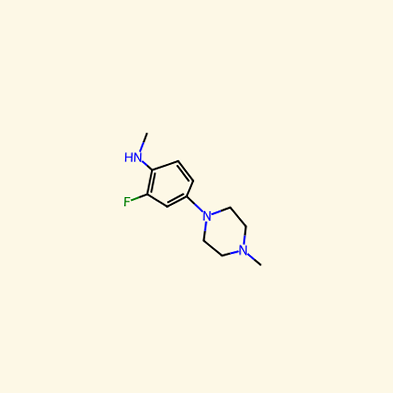 CNc1ccc(N2CCN(C)CC2)cc1F